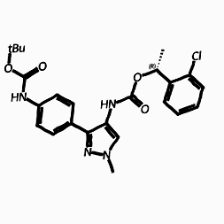 C[C@@H](OC(=O)Nc1cn(C)nc1-c1ccc(NC(=O)OC(C)(C)C)cc1)c1ccccc1Cl